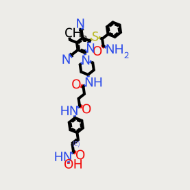 CCc1c(C#N)c(SC(C(N)=O)c2ccccc2)nc(N2CCC(NC(=O)CCC(=O)Nc3ccc(/C=C/C(=O)NO)cc3)CC2)c1C#N